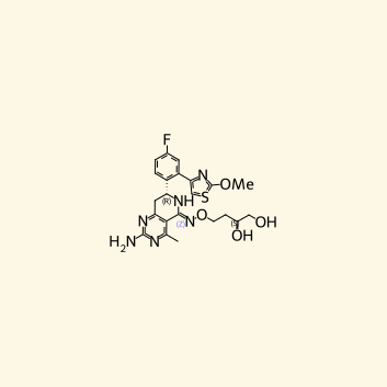 COc1nc(-c2cc(F)ccc2[C@H]2Cc3nc(N)nc(C)c3/C(=N/OCC[C@H](O)CO)N2)cs1